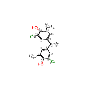 CCC(c1cc(C)c(O)c(Cl)c1)c1cc(C)c(O)c(Cl)c1